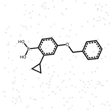 OB(O)c1ccc(OCc2ccccc2)cc1C1CC1